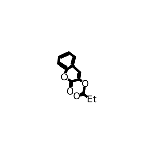 CCC(=O)Oc1cc2ccccc2oc1=O